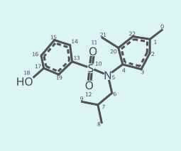 Cc1ccc(N(CC(C)C)S(=O)(=O)c2cccc(O)c2)c(C)c1